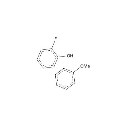 COc1ccccc1.Oc1ccccc1F